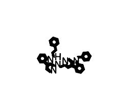 c1ccc(CCCn2c3ccccc3c3ccnc(NCc4cc5c6ccccc6n(Cc6ccccc6)c5cn4)c32)cc1